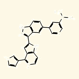 CN(C)c1cncc(-c2ccc3[nH]nc(-c4cc5c(-c6ccoc6)nccc5[nH]4)c3c2)c1